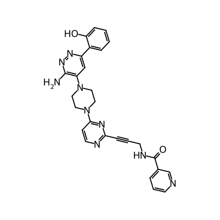 Nc1nnc(-c2ccccc2O)cc1N1CCN(c2ccnc(C#CCNC(=O)c3cccnc3)n2)CC1